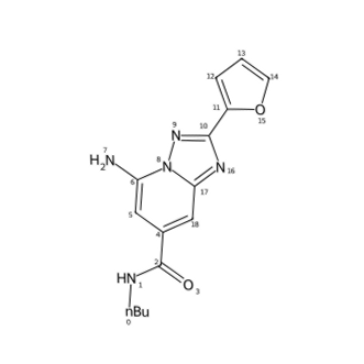 CCCCNC(=O)c1cc(N)n2nc(-c3ccco3)nc2c1